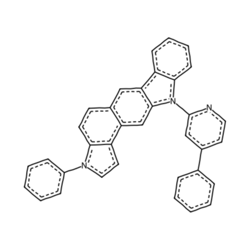 c1ccc(-c2ccnc(-n3c4ccccc4c4cc5ccc6c(ccn6-c6ccccc6)c5cc43)c2)cc1